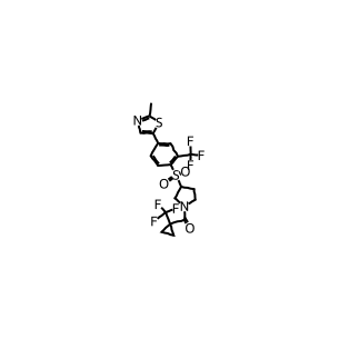 Cc1ncc(-c2ccc(S(=O)(=O)C3CCN(C(=O)C4(C(F)(F)F)CC4)C3)c(C(F)(F)F)c2)s1